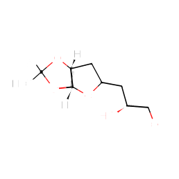 CC1(C)O[C@H]2OC(C[C@H](O)CO)C[C@H]2O1